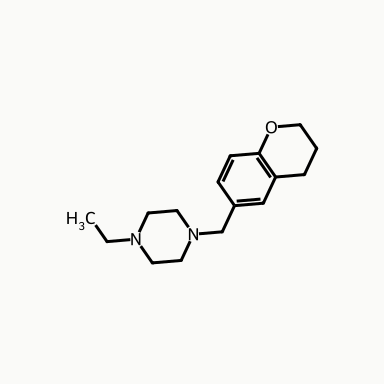 CCN1CCN(Cc2ccc3c(c2)CCCO3)CC1